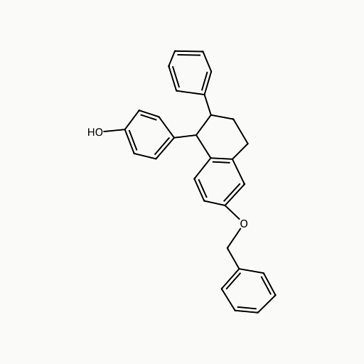 Oc1ccc(C2c3ccc(OCc4ccccc4)cc3CCC2c2ccccc2)cc1